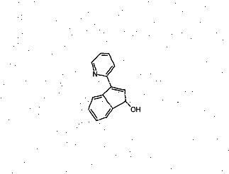 OC1C=C(c2ccccn2)c2ccccc21